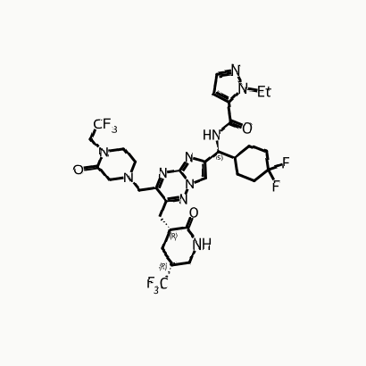 CCn1nccc1C(=O)N[C@H](c1cn2nc(C[C@H]3C[C@@H](C(F)(F)F)CNC3=O)c(CN3CCN(CC(F)(F)F)C(=O)C3)nc2n1)C1CCC(F)(F)CC1